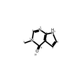 Cn1cnc2[nH]ccc2c1=O